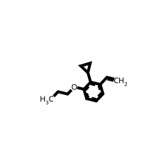 C=Cc1cccc(OCCC)c1C1CC1